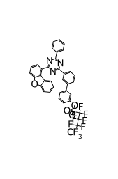 O=S(=O)(Oc1cccc(-c2cccc(-c3nc(-c4ccccc4)nc(-c4cccc5oc6ccccc6c45)n3)c2)c1)C(F)(F)C(F)(F)C(F)(F)C(F)(F)F